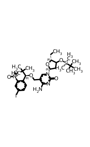 CC[C@H]1O[C@@H](n2cc(CO[C@@H](c3ccc(I)cc3[N+](=O)[O-])C(C)(C)C)c(N)nc2=O)CC1O[Si](C)(C)C(C)(C)C